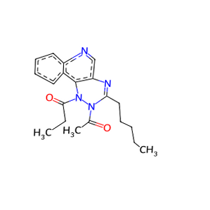 CCCCCC1=Nc2cnc3ccccc3c2N(C(=O)CC)N1C(C)=O